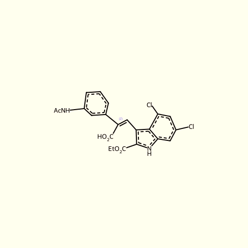 CCOC(=O)c1[nH]c2cc(Cl)cc(Cl)c2c1/C=C(\C(=O)O)c1cccc(NC(C)=O)c1